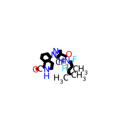 CC(C)=C(F)C(C)=C(F)NC(=O)c1cnn(-c2cccc3c2C=CNC3=C=O)c1C(F)(F)F